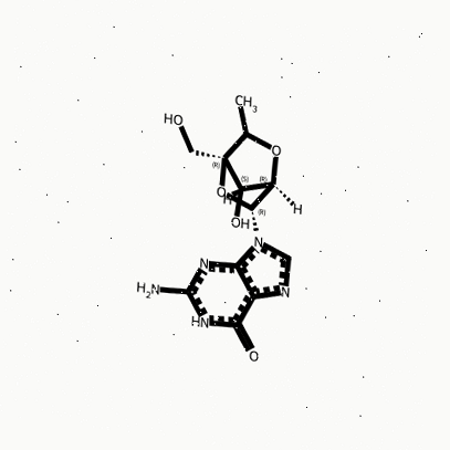 CC1O[C@H]2[C@H](n3cnc4c(=O)[nH]c(N)nc43)O[C@]1(CO)[C@H]2O